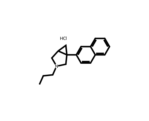 CCCN1CC2CC2(c2ccc3ccccc3c2)C1.Cl